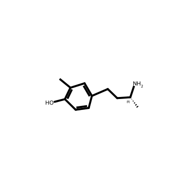 Cc1cc(CC[C@@H](C)N)ccc1O